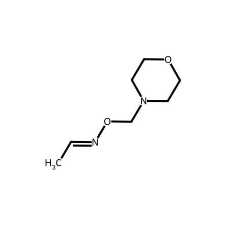 CC=NOCN1CCOCC1